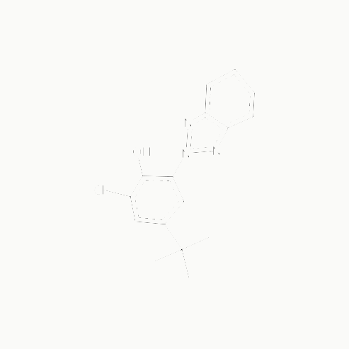 CC(C)(C)c1cc(Cl)c(O)c(-n2nc3ccccc3n2)c1